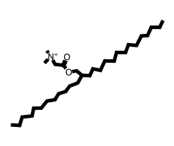 CCCCCCCCCCCCCCC(CCCCCCCCCCCC)COC(=O)C[N+](C)(C)C